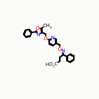 Cc1oc(-c2ccccc2)nc1COc1ccc(CO/N=C(\CCC(=O)O)c2ccccc2)cn1